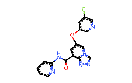 O=C(Nc1ccccn1)c1cc(Oc2cncc(F)c2)cn2cnnc12